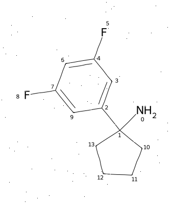 NC1(c2cc(F)cc(F)c2)CCCC1